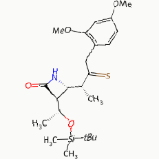 COc1ccc(CC(=S)[C@H](C)[C@H]2NC(=O)[C@@H]2[C@@H](C)O[Si](C)(C)C(C)(C)C)c(OC)c1